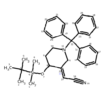 CC(C)(C)[Si](C)(C)OC1CCN(C(c2ccccc2)(c2ccccc2)c2ccccc2)C/C1=C\C#N